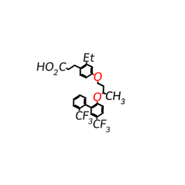 CCc1cc(OCCC(C)Oc2ccc(C(F)(F)F)cc2-c2ccccc2C(F)(F)F)ccc1CCC(=O)O